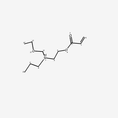 C=CC(=O)OCC[SiH](CCC)COCC